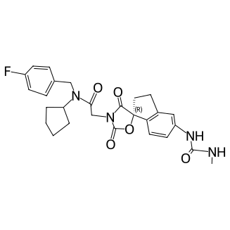 CNC(=O)Nc1ccc2c(c1)CC[C@@]21OC(=O)N(CC(=O)N(Cc2ccc(F)cc2)C2CCCC2)C1=O